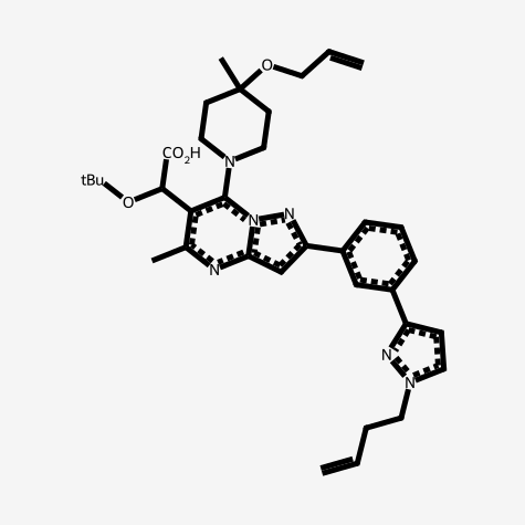 C=CCCn1ccc(-c2cccc(-c3cc4nc(C)c(C(OC(C)(C)C)C(=O)O)c(N5CCC(C)(OCC=C)CC5)n4n3)c2)n1